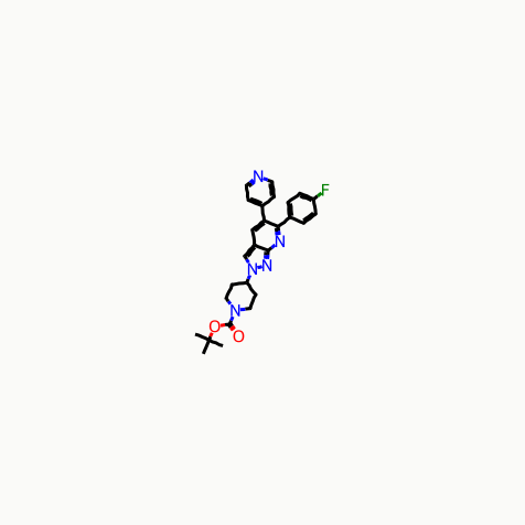 CC(C)(C)OC(=O)N1CCC(n2cc3cc(-c4ccncc4)c(-c4ccc(F)cc4)nc3n2)CC1